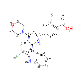 O=C(O)c1ccc(-c2cc(N3CCOCC3)nc(-n3c(C(F)F)nc4ccccc43)n2)cc1F